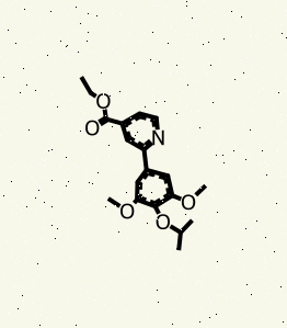 CCOC(=O)c1ccnc(-c2cc(OC)c(OC(C)C)c(OC)c2)c1